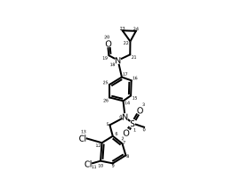 CS(=O)(=O)N(Cc1cccc(Cl)c1Cl)c1ccc(N(C=O)CC2CC2)cc1